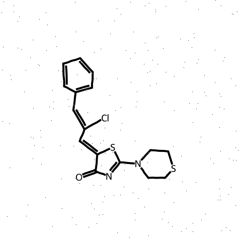 O=C1N=C(N2CCSCC2)SC1=CC(Cl)=Cc1ccccc1